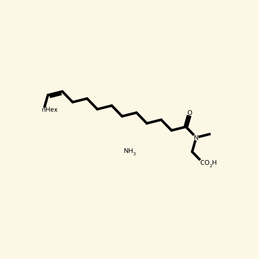 CCCCCC/C=C\CCCCCCCCCC(=O)N(C)CC(=O)O.N